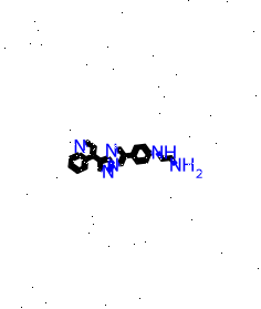 NCCNc1ccc(-c2cnc3c(-c4ccnc5ccccc45)cnn3c2)cc1